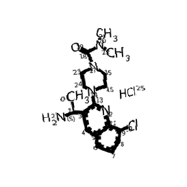 C[C@H](N)c1cc2cccc(Cl)c2nc1N1CCN(C(=O)N(C)C)CC1.Cl